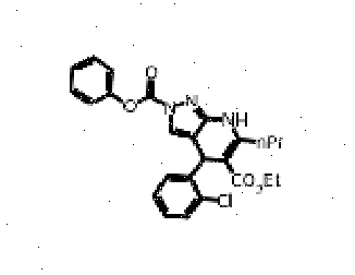 CCCC1=C(C(=O)OCC)C(c2ccccc2Cl)c2cn(C(=O)Oc3ccccc3)nc2N1